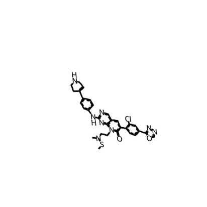 CSN(C)CCn1c(=O)c(-c2ccc(-c3nnco3)cc2Cl)cc2cnc(Nc3ccc(C4=CCNCC4)cc3)nc21